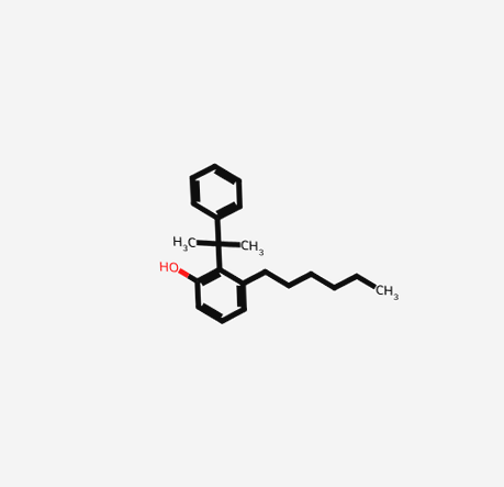 CCCCCCc1cccc(O)c1C(C)(C)c1ccccc1